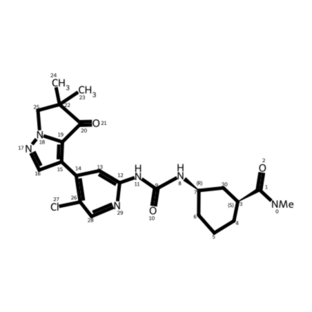 CNC(=O)[C@H]1CCC[C@@H](NC(=O)Nc2cc(-c3cnn4c3C(=O)C(C)(C)C4)c(Cl)cn2)C1